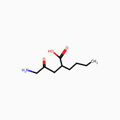 CCCCC(CC(=O)CN)C(=O)O